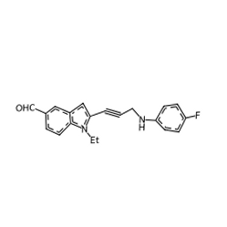 CCn1c(C#CCNc2ccc(F)cc2)cc2cc(C=O)ccc21